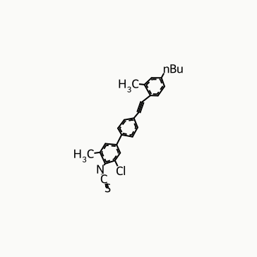 CCCCc1ccc(C#Cc2ccc(-c3cc(C)c(N=C=S)c(Cl)c3)cc2)c(C)c1